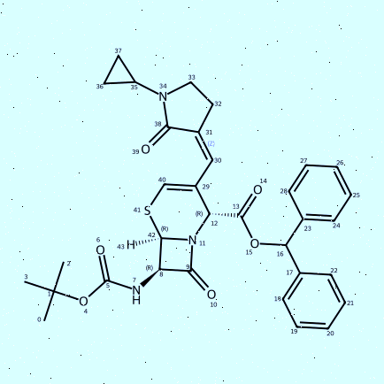 CC(C)(C)OC(=O)N[C@@H]1C(=O)N2[C@@H](C(=O)OC(c3ccccc3)c3ccccc3)C(/C=C3/CCN(C4CC4)C3=O)=CS[C@H]12